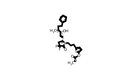 COC(=O)Oc1ccc(CCCN2C(=O)C(F)(F)C[C@@H]2/C=C/[C@@H](O)[C@@H](C)CCc2ccccc2)s1